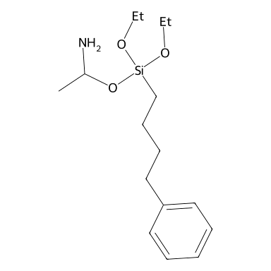 CCO[Si](CCCCc1ccccc1)(OCC)OC(C)N